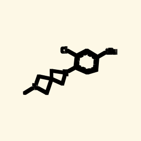 CN1CC2(C1)CN(c1ccc(C(C)(C)C)cc1Cl)C2